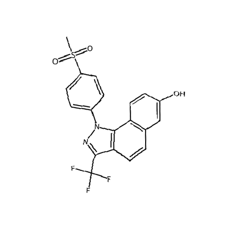 CS(=O)(=O)c1ccc(-n2nc(C(F)(F)F)c3ccc4cc(O)ccc4c32)cc1